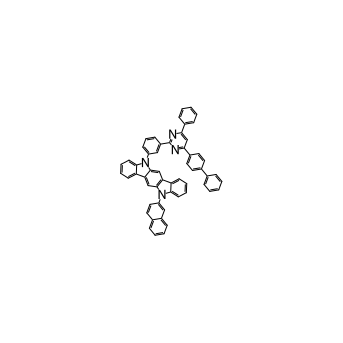 c1ccc(-c2ccc(-c3cc(-c4ccccc4)nc(-c4cccc(-n5c6ccccc6c6cc7c(cc65)c5ccccc5n7-c5ccc6ccccc6c5)c4)n3)cc2)cc1